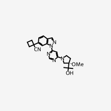 CO[C@@]1(C(C)(C)O)CCN(c2cc(-n3ncc4ccc(C5(C#N)CCC5)cc43)ncn2)C1